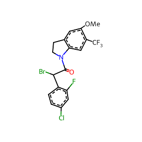 COc1cc2c(cc1C(F)(F)F)N(C(=O)C(Br)c1ccc(Cl)cc1F)CC2